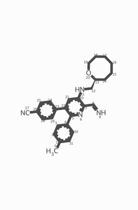 Cc1ccc(-c2nc(C=N)c(NC[C@@H]3CCCCCCO3)cc2-c2ccc(C#N)cc2)cc1